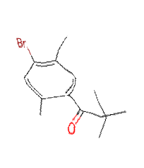 Cc1cc(C(=O)C(C)(C)C)c(C)cc1Br